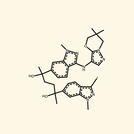 Cn1nc(I)c2ccc(C(C)(O)CCC(C)(O)c3ccc4c(Nc5cnn6c5OCC(C)(C)C6)nn(C)c4c3)cc21